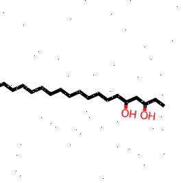 CCCCCCCCCCCCCCC(O)CC(O)CC